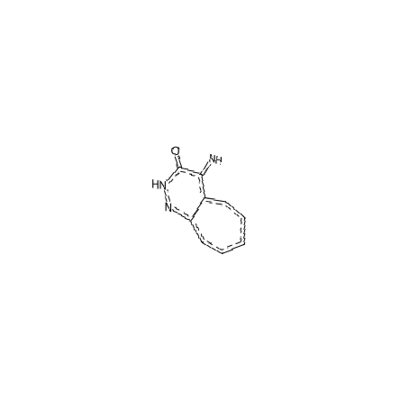 N=c1c2cccccc-2n[nH]c1=O